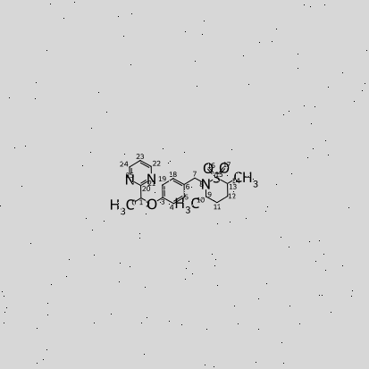 CC(Oc1ccc(CN2[C@@H](C)CCC(C)S2(=O)=O)cc1)c1ncccn1